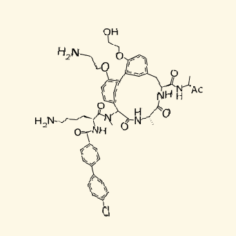 CC(=O)[C@H](C)NC(=O)[C@@H]1Cc2ccc(OCCO)c(c2)-c2cc(ccc2OCCN)C(N(C)C(=O)[C@H](CCCCN)NC(=O)c2ccc(-c3ccc(Cl)cc3)cc2)C(=O)N[C@@H](C)C(=O)N1